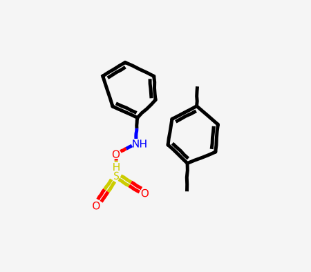 Cc1ccc(C)cc1.O=[SH](=O)ONc1ccccc1